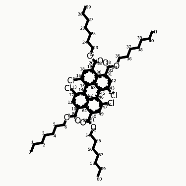 CCCCCCCOC(=O)c1cc(Cl)c2c3c(Cl)cc(C(=O)OCCCCCCC)c4c(C(=O)OCCCCCCC)cc(Cl)c(c5c(Cl)cc(C(=O)OCCCCCCC)c1c25)c43